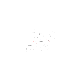 Cc1ccccc1/C(OC(=O)c1ccccc1)=C(\OC(=O)c1ccccc1)c1ccccc1C